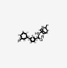 CC1CC2CCN1C[C@@H]2NC(=O)c1ccc(-c2cccc(F)c2)s1